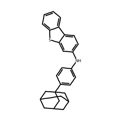 c1ccc2c(c1)sc1cc(Nc3ccc(C45CC6CC(CC(C6)C4)C5)cc3)ccc12